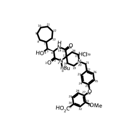 CCCCN1C(=O)[C@@H](C(O)C2CCCCCC2)NC(=O)C12CCN(Cc1ccc(Oc3ccc(C(=O)O)cc3OC)cc1)CC2.Cl